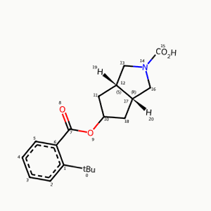 CC(C)(C)c1ccccc1C(=O)OC1C[C@@H]2CN(C(=O)O)C[C@@H]2C1